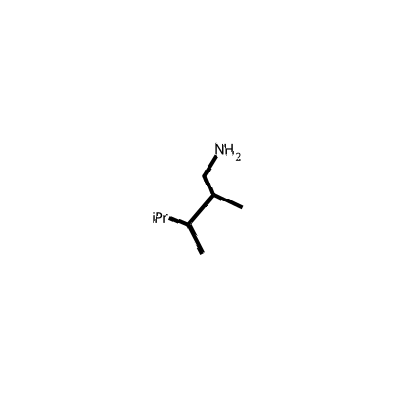 CC(C)C(C)C(C)CN